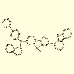 CC1(C)c2cc(-c3cccc4c3sc3ccccc34)ccc2-c2ccc(N(c3ccc(-c4ccccc4)cc3)c3cccc4ccccc34)cc21